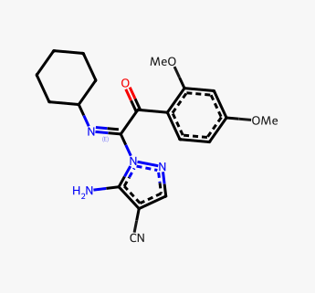 COc1ccc(C(=O)/C(=N\C2CCCCC2)n2ncc(C#N)c2N)c(OC)c1